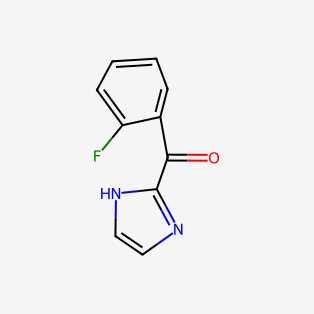 O=C(c1ncc[nH]1)c1ccccc1F